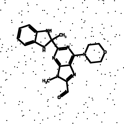 Cn1c(C=O)nc2c(N3CCOCC3)nc(C3(C)Nc4ccccc4N3)nc21